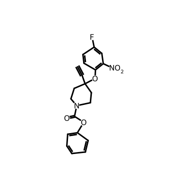 C#CC1(Oc2ccc(F)cc2[N+](=O)[O-])CCN(C(=O)Oc2ccccc2)CC1